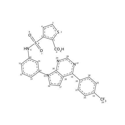 O=C(O)c1sccc1S(=O)(=O)Nc1cccc(-n2ccc3c(-c4ccc(C(F)(F)F)cc4)ncnc32)c1